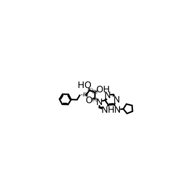 O[C@@H]1[C@H](O)[C@@H](CCc2ccccc2)O[C@H]1n1cnc2c(NC3CCCC3)ncnc21